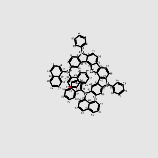 c1ccc(-n2c3ccc(N(c4cccc5ccccc45)c4cccc5ccccc45)cc3c3c4oc5c(ccc6c5c5cc(N(c7cccc8ccccc78)c7cccc8ccccc78)ccc5n6-c5ccccc5)c4ccc32)cc1